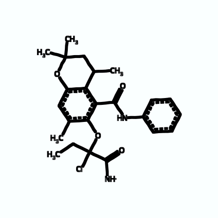 CCC(Cl)(Oc1c(C)cc2c(c1C(=O)Nc1ccccc1)C(C)CC(C)(C)O2)C([NH])=O